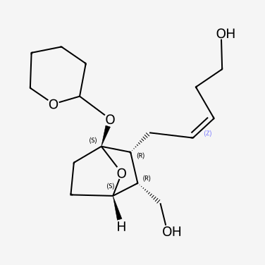 OCC/C=C\C[C@@H]1[C@H](CO)[C@@H]2CC[C@@]1(OC1CCCCO1)O2